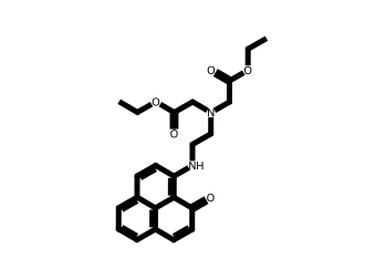 CCOC(=O)CN(CCNc1ccc2cccc3c2c1C(=O)C=C3)CC(=O)OCC